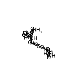 CN(CCOCCOCCOCCNc1cccc2c1CN(C1CCC(=O)NC1=O)C2=O)C(=O)CCNc1nc(N2CCN(C(N)=O)CC2)c2cc(Cl)c(-c3c(O)cccc3F)c(F)c2n1